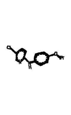 CC(C)Oc1ccc(Nc2ccc(Cl)cn2)cc1